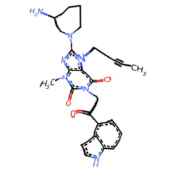 CC#CCn1c(N2CCCC(N)C2)nc2c1c(=O)n(CC(=O)c1cccc3[nH]ccc13)c(=O)n2C